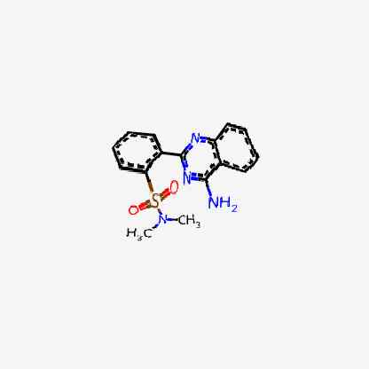 CN(C)S(=O)(=O)c1ccccc1-c1nc(N)c2ccccc2n1